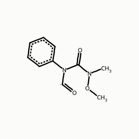 CON(C)C(=O)N([C]=O)c1ccccc1